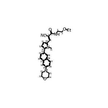 CCOCCNC(=O)/C(C#N)=C/c1ccc(-c2ccc3cc(N4CCOCC4)ccc3c2)n1C